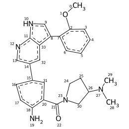 COc1ccccc1-c1c[nH]c2ncc(-c3ccc(N)c(C(=O)N4CCC(N(C)C)C4)c3)cc12